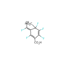 O=C(O)C1=C(F)C(=C(F)C(F)(F)F)C(F)(C(=O)O)C(F)=C1F